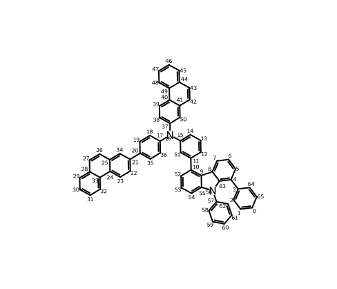 c1ccc(-c2cccc3c4c(-c5cccc(N(c6ccc(-c7ccc8c(ccc9ccccc98)c7)cc6)c6ccc7c(ccc8ccccc87)c6)c5)cccc4n(-c4ccccc4)c23)cc1